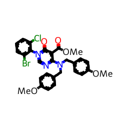 COC(=O)c1c(N(Cc2ccc(OC)cc2)Cc2ccc(OC)cc2)ncn(-c2c(Cl)cccc2Br)c1=O